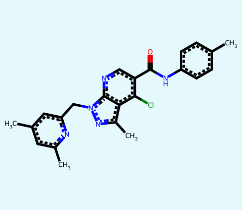 Cc1ccc(NC(=O)c2cnc3c(c(C)nn3Cc3cc(C)cc(C)n3)c2Cl)cc1